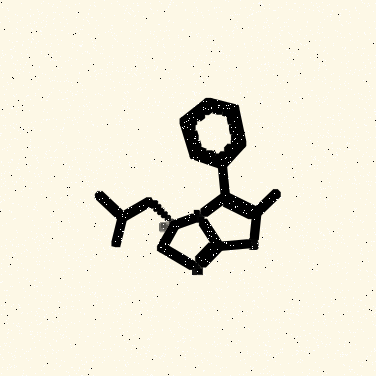 CC1=C(c2ccccc2)N2C(=NC[C@@H]2CC(C)C)S1